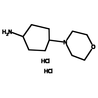 Cl.Cl.NC1CCC(N2CCOCC2)CC1